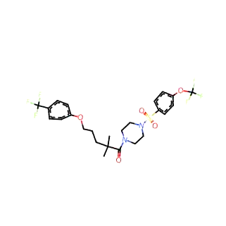 CC(C)(CCCOc1ccc(C(F)(F)F)cc1)C(=O)N1CCN(S(=O)(=O)c2ccc(OC(F)(F)F)cc2)CC1